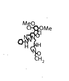 C=CC(=O)N1CCCC(NCCn2c(=O)c(-c3c(Cl)c(OC)cc(OC)c3Cl)cc3cnc(Nc4ccccc4)nc32)C1